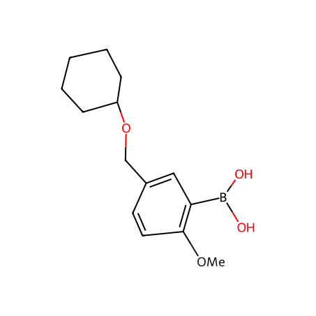 COc1ccc(COC2CCCCC2)cc1B(O)O